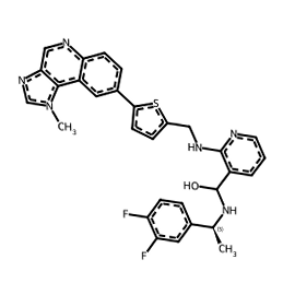 C[C@H](NC(O)c1cccnc1NCc1ccc(-c2ccc3ncc4ncn(C)c4c3c2)s1)c1ccc(F)c(F)c1